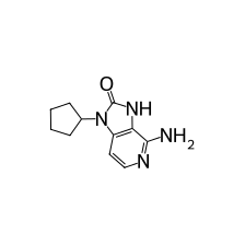 Nc1nccc2c1[nH]c(=O)n2C1CCCC1